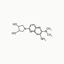 CN(C)c1nc2ccc(N3CC(O)C(O)C3)nc2cc1N